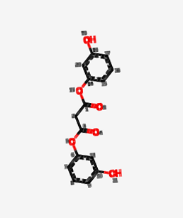 O=C(CC(=O)Oc1cccc(O)c1)Oc1cccc(O)c1